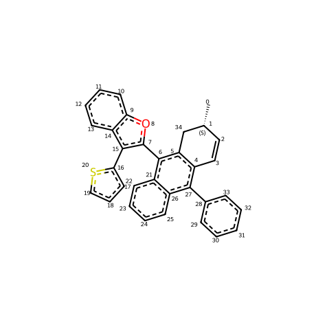 C[C@@H]1C=Cc2c(c(-c3oc4ccccc4c3-c3cccs3)c3ccccc3c2-c2ccccc2)C1